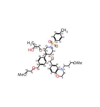 COCCCN1CCOc2ccc(CO[C@H]3CN(S(=O)(=O)c4ccc(C)cc4)C[C@@H](OC[C@H](C)O)[C@@H]3c3ccc(COCCOC)cc3)cc21